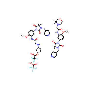 CC1(C)C(=O)N(c2ccc(OC(F)(F)F)c(NC(=O)CNC3CCCC3)c2)C(=O)N1Cc1ccncc1.CC1(C)COCCN1CC(=O)Nc1cc(N2C(=O)N(Cc3ccncc3)C(C)(C)C2=O)ccc1OC(F)(F)F.O=C(O)C(F)(F)F.O=C(O)C(F)(F)F